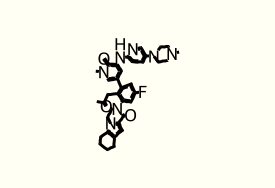 CC(=O)Cc1c(-c2cc(Nc3ccc(N4CCN(C)CC4)cn3)c(=O)n(C)c2)cc(F)cc1N1CCn2c(cc3c2CCCC3)C1=O